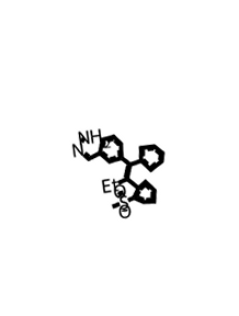 CC/C(=C(/c1ccccc1)c1cccc(/C=N\N)c1)c1ccccc1S(C)(=O)=O